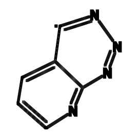 [c]1nnnc2ncccc12